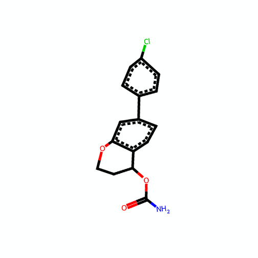 NC(=O)OC1CCOc2cc(-c3ccc(Cl)cc3)ccc21